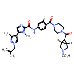 C=C(C)Cn1cc(-c2cnc(C(=O)Nc3ccc(C(=O)N4CCN(C(=O)[C@H]5[C@@H]6CN(C(=O)O)C[C@@H]65)CC4)c(Cl)c3)n2C)c(C(F)(F)F)n1